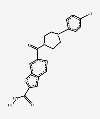 O=C(NO)c1cc2ccc(C(=O)N3CCN(c4ccc(Cl)cc4)CC3)cc2s1